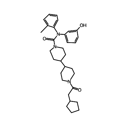 Cc1ccccc1N(C(=O)N1CCC(C2CCN(C(=O)CC3CCCC3)CC2)CC1)c1cccc(O)c1